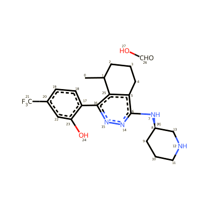 CC1CCCc2c(N[C@@H]3CCCNC3)nnc(-c3ccc(C(F)(F)F)cc3O)c21.O=CO